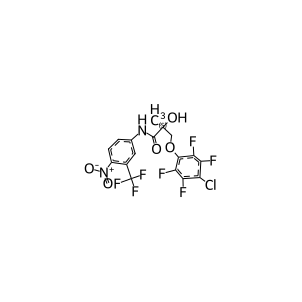 C[C@](O)(COc1c(F)c(F)c(Cl)c(F)c1F)C(=O)Nc1ccc([N+](=O)[O-])c(C(F)(F)F)c1